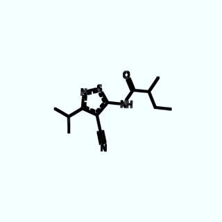 CCC(C)C(=O)Nc1snc(C(C)C)c1C#N